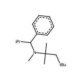 CC(C)C(c1ccccc1)N(C)C(C)(C)CC(C)(C)C